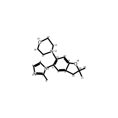 Cc1nccn1-c1cc2c(cc1N1CCOCC1)OC(C)(C)C2